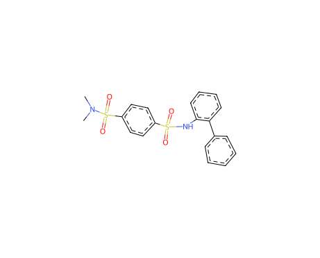 CN(C)S(=O)(=O)c1ccc(S(=O)(=O)Nc2ccccc2-c2ccccc2)cc1